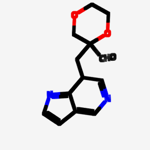 O=CC1(CC2C=NC=C3C=CN=C32)COCCO1